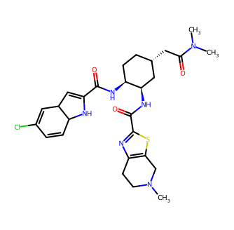 CN1CCc2nc(C(=O)N[C@@H]3C[C@@H](CC(=O)N(C)C)CC[C@@H]3NC(=O)C3=CC4C=C(Cl)C=CC4N3)sc2C1